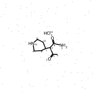 CC(=O)C(C(N)=O)C1CCNCC1.Cl